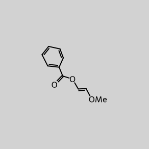 COC=COC(=O)c1ccccc1